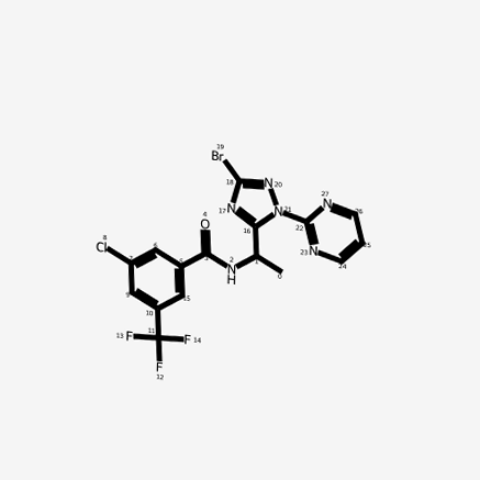 CC(NC(=O)c1cc(Cl)cc(C(F)(F)F)c1)c1nc(Br)nn1-c1ncccn1